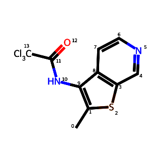 Cc1sc2cnccc2c1NC(=O)C(Cl)(Cl)Cl